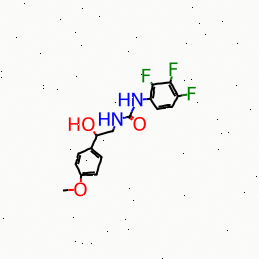 COc1ccc(C(O)CNC(=O)Nc2ccc(F)c(F)c2F)cc1